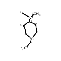 CN(I)C1CCN(CC(F)(F)F)CC1